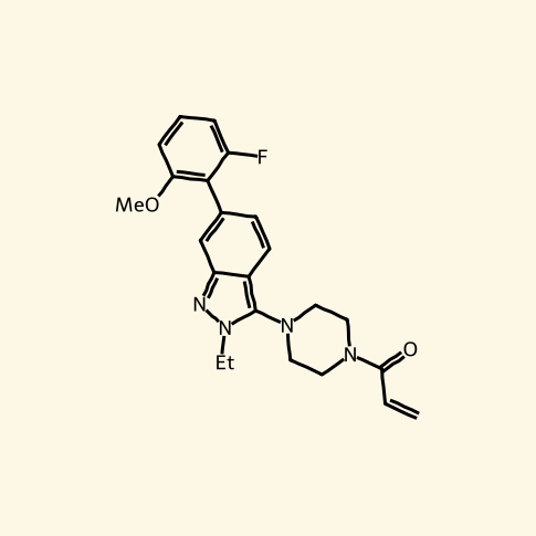 C=CC(=O)N1CCN(c2c3ccc(-c4c(F)cccc4OC)cc3nn2CC)CC1